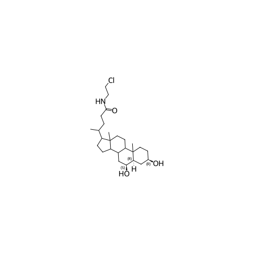 CC(CCC(=O)NCCCl)C1CCC2C3C[C@H](O)[C@@H]4C[C@H](O)CCC4(C)C3CCC12C